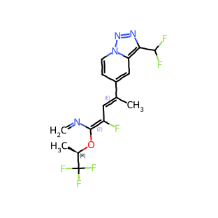 C=N/C(O[C@H](C)C(F)(F)F)=C(F)\C=C(/C)c1ccn2nnc(C(F)F)c2c1